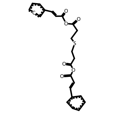 O=C(C=Cc1ccccc1)OC(=O)CCSCCC(=O)OC(=O)C=Cc1ccccc1